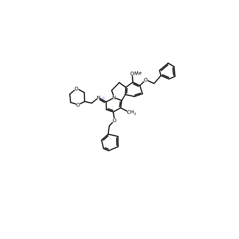 COc1c(OCc2ccccc2)ccc2c1CCn1c-2c(C)c(OCc2ccccc2)c/c1=N\CC1COCCO1